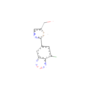 OCc1cnc(-c2cc(F)c3nonc3c2)s1